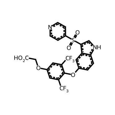 O=C(O)COc1cc(C(F)(F)F)c(Oc2ccc3[nH]cc(S(=O)(=O)c4ccncc4)c3c2)c(C(F)(F)F)c1